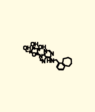 OC[C@H]1O[C@@H](n2cnc3c(NCc4cccc5c4CCCCC5)ncnc32)[C@H](O)[C@@H]1O